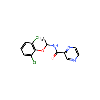 CC(NC(=O)c1cnccn1)Oc1c(Cl)cccc1Cl